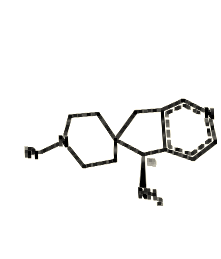 CC(C)N1CCC2(CC1)Cc1cnccc1[C@H]2N